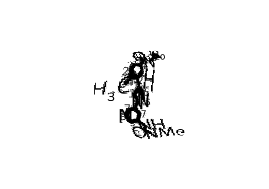 CNC(=O)Nc1cncc(-n2cc(-c3cc(C(=O)NC4CC4)ccc3C)cn2)c1